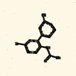 CC(C)(C)C(=O)Nc1ccc(Br)cc1-c1cccc(C#N)c1